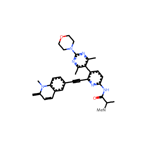 C=C1C=Cc2cc(C#Cc3nc(NC(=O)C(C)NC)ccc3-c3c(C)nc(N4CCOCC4)nc3C)ccc2N1C